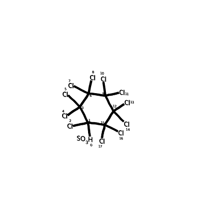 O=S(=O)(O)C1(Cl)C(Cl)(Cl)C(Cl)(Cl)C(Cl)(Cl)C(Cl)(Cl)C1(Cl)Cl